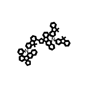 CC1(C)c2ccccc2-c2ccc(N(c3ccc4c(c3)C(C)(C)c3ccccc3-4)c3c4c(cc5ccccc35)C3(CCC(c5cccc6c5C(C)(C)c5cc(N(c7ccccc7)c7c8c(cc9ccccc79)C7(CCCC7)c7ccccc7-8)ccc5-6)C3)c3ccccc3-4)cc21